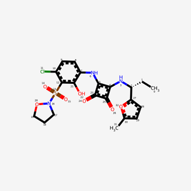 CC[C@@H](Nc1c(Nc2ccc(Cl)c(S(=O)(=O)N3CCCO3)c2O)c(=O)c1=O)c1ccc(C)o1